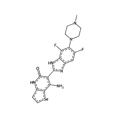 CN1CCN(c2c(F)cc3nc(-c4c(N)c5[se]ccc5[nH]c4=O)[nH]c3c2F)CC1